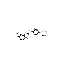 CC(C)n1cnc2ccc3cnc(Nc4ccc(N5CCNCC5)cc4F)nc3c21